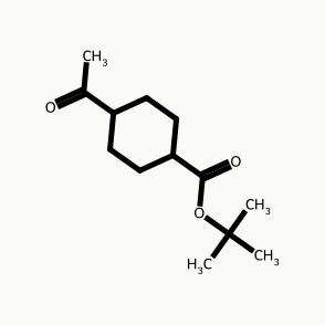 CC(=O)C1CCC(C(=O)OC(C)(C)C)CC1